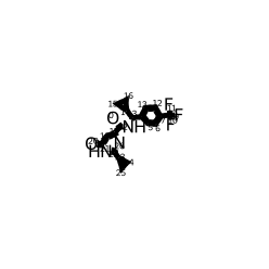 O=C(NC(c1ccc(C(F)(F)F)cc1)C1CC1)c1cc(=O)[nH]c(C2CC2)n1